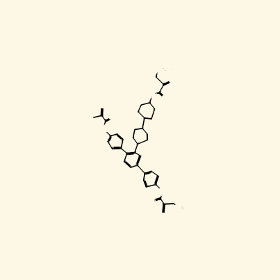 C=C(C)C(=O)Oc1ccc(-c2ccc(-c3ccc(OC(=O)C(=C)CO)cc3)cc2C2CCC(C3CCC(OC(=O)C(=C)COC)CC3)CC2)cc1